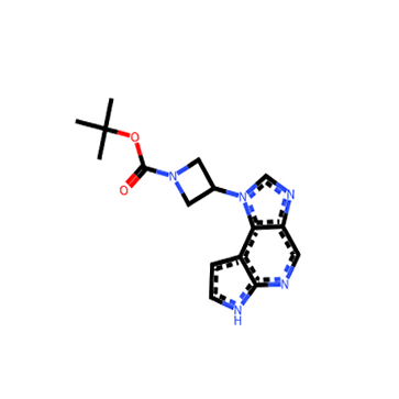 CC(C)(C)OC(=O)N1CC(n2cnc3cnc4[nH]ccc4c32)C1